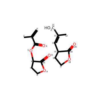 C=C(C)C(=O)OC1CCOC1=O.CC(=CC1CCOC1=O)C(=O)O